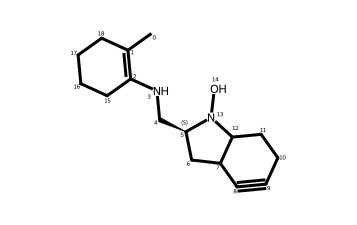 CC1=C(NC[C@@H]2CC3C#CCCC3N2O)CCCC1